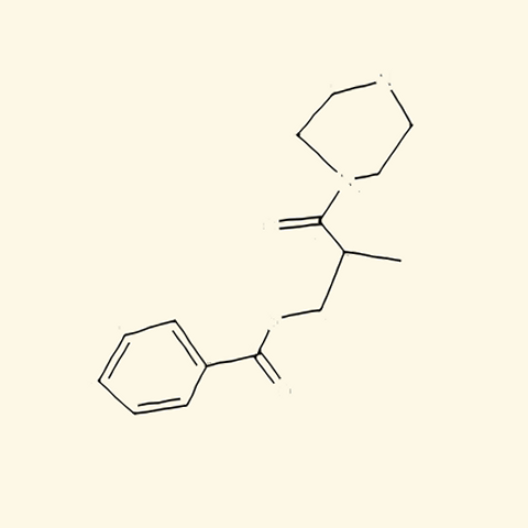 CC(CSC(=O)c1ccccc1)C(=O)N1CC[N]CC1